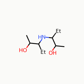 CCC(NC(CC)C(C)O)C(C)O